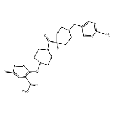 COC(=O)c1cc(F)ccc1OC1CCN(C(=O)C2(F)CCN(Cc3cnc(N)nc3)CC2)CC1